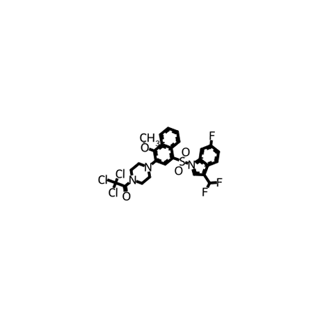 COc1c(N2CCN(C(=O)C(Cl)(Cl)Cl)CC2)cc(S(=O)(=O)n2cc(C(F)F)c3ccc(F)cc32)c2ccccc12